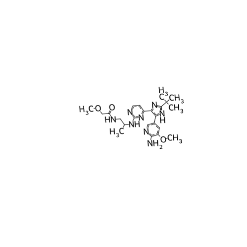 COCC(=O)NCC(C)Nc1nccc(-c2nc(C(C)(C)C)[nH]c2-c2cnc(N)c(OC)c2)n1